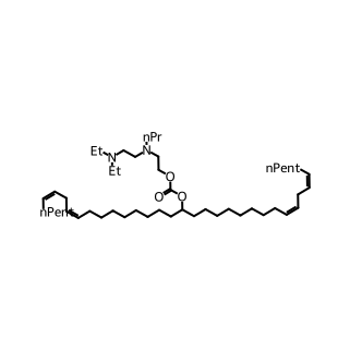 CCCCC/C=C\C/C=C\CCCCCCCCC(CCCCCCCC/C=C\C/C=C\CCCCC)OC(=O)OCCN(CCC)CCN(CC)CC